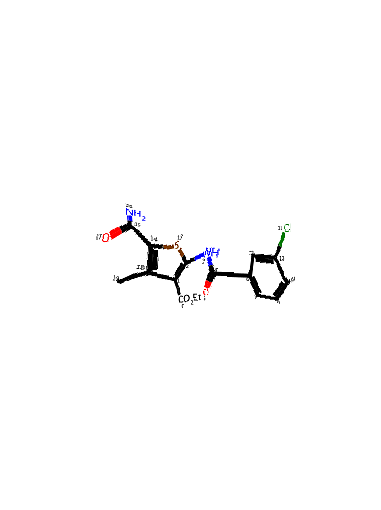 CCOC(=O)c1c(NC(=O)c2cccc(Cl)c2)sc(C(N)=O)c1C